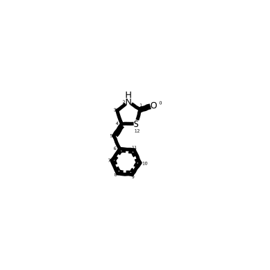 O=C1NCC(=Cc2ccccc2)S1